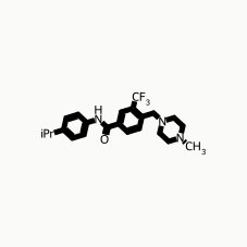 CC(C)c1ccc(NC(=O)c2ccc(CN3CCN(C)CC3)c(C(F)(F)F)c2)cc1